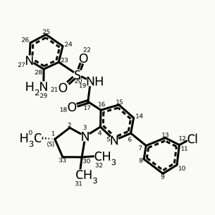 C[C@@H]1CN(c2nc(-c3cccc(Cl)c3)ccc2C(=O)NS(=O)(=O)c2cccnc2N)C(C)(C)C1